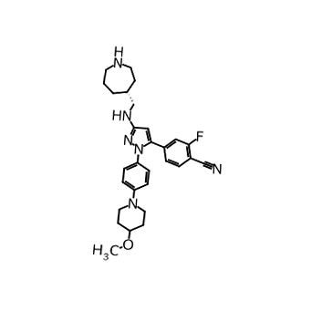 COC1CCN(c2ccc(-n3nc(NC[C@@H]4CCCNCC4)cc3-c3ccc(C#N)c(F)c3)cc2)CC1